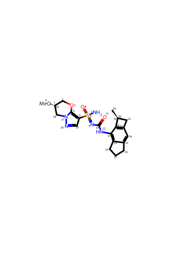 CO[C@@H]1COc2c(S(N)(=O)=NC(=O)Nc3c4c(cc5c3[C@@H](C)C5)CCC4)cnn2C1